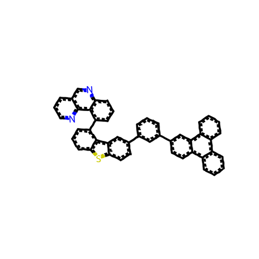 c1cc(-c2ccc3c4ccccc4c4ccccc4c3c2)cc(-c2ccc3sc4cccc(-c5cccc6ncc7cccnc7c56)c4c3c2)c1